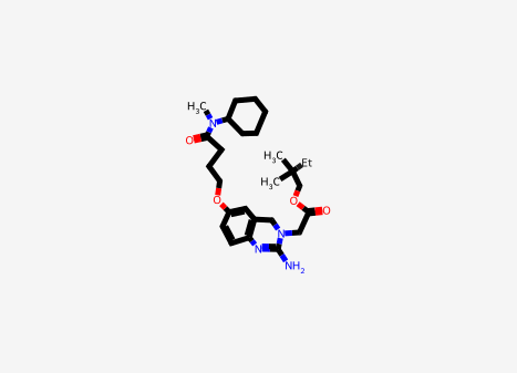 CCC(C)(C)COC(=O)CN1Cc2cc(OCCCC(=O)N(C)C3CCCCC3)ccc2N=C1N